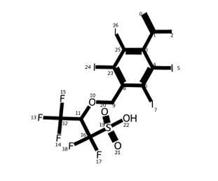 C=C(C)c1c(I)c(I)c(COC(C(F)(F)F)C(F)(F)S(=O)(=O)O)c(I)c1I